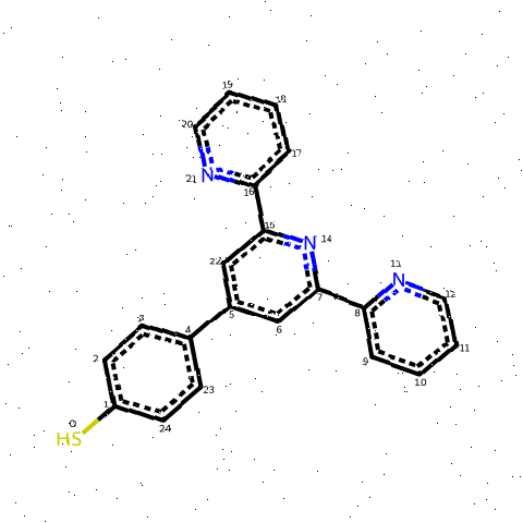 Sc1ccc(-c2cc(-c3ccccn3)nc(-c3ccccn3)c2)cc1